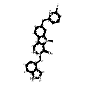 Cn1c2cc(Cc3cccc(F)n3)ccc2c2cnn(Cc3cccc4[nH]ncc34)c(=O)c21